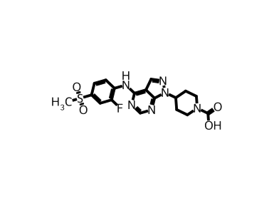 CS(=O)(=O)c1ccc(Nc2ncnc3c2cnn3C2CCN(C(=O)O)CC2)c(F)c1